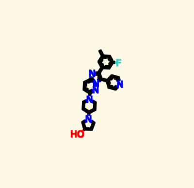 Cc1cc(F)cc(-c2nc3ccc(N4CCC(N5CC[C@@H](O)C5)CC4)nn3c2-c2ccncc2)c1